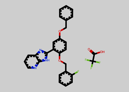 Fc1ccccc1COc1ccc(OCc2ccccc2)cc1-c1nc2cccnc2[nH]1.O=C(O)C(F)(F)F